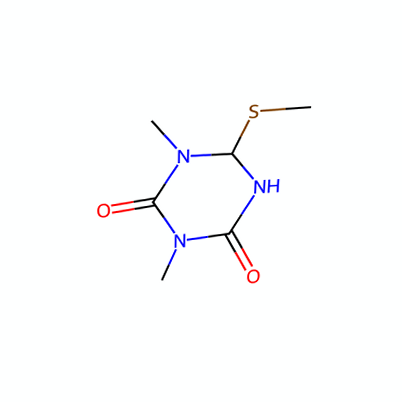 CSC1NC(=O)N(C)C(=O)N1C